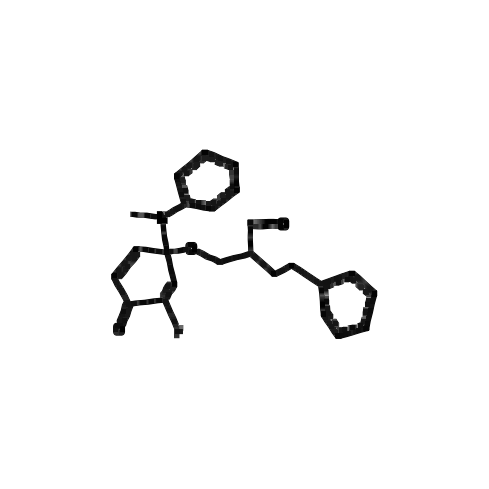 CN(c1ccccc1)C1(OCC(C=O)CCc2ccccc2)C=CC(=O)C(F)=C1